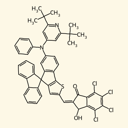 CC(C)(C)c1cc(N(c2ccccc2)c2ccc3c(c2)C2(c4ccccc4-c4ccccc42)c2cc(/C=C4\C(=O)c5c(Cl)c(Cl)c(Cl)c(Cl)c5C4O)sc2-3)cc(C(C)(C)C)n1